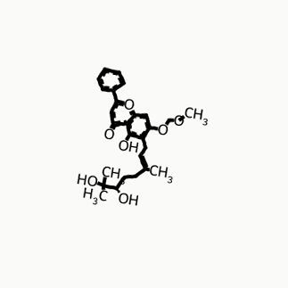 COCOc1cc2oc(-c3ccccc3)cc(=O)c2c(O)c1C/C=C(\C)CC[C@@H](O)C(C)(C)O